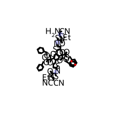 CCN1C(=O)/C(=N\c2cc3c(s2)-c2cc4c(cc2C(C(=O)OCc2ccccc2)(C(=O)OCc2ccccc2)O3)-c2sc(/N=C3/S/C(=C(\N)C#N)N(CC)C3=O)cc2OC4(C(=O)OCc2ccccc2)C(=O)OCc2ccccc2)SC1=C(C#N)C#N